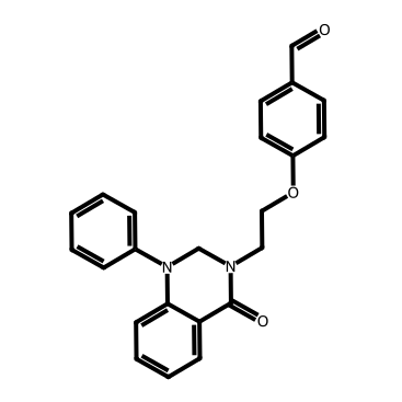 O=Cc1ccc(OCCN2CN(c3ccccc3)c3ccccc3C2=O)cc1